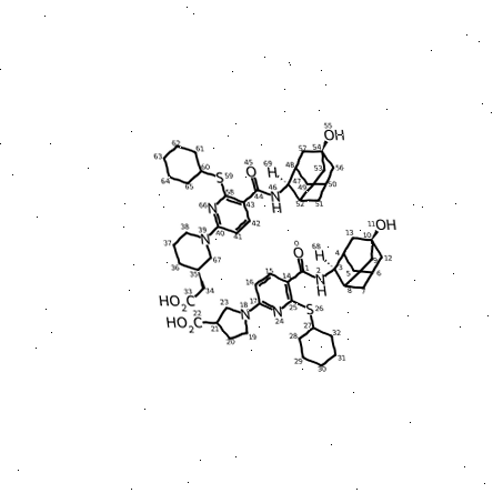 O=C(N[C@H]1C2CC3CC1C[C@@](O)(C3)C2)c1ccc(N2CCC(C(=O)O)C2)nc1SC1CCCCC1.O=C(O)C[C@H]1CCCN(c2ccc(C(=O)N[C@H]3C4CC5CC3C[C@@](O)(C5)C4)c(SC3CCCCC3)n2)C1